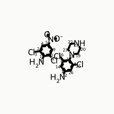 Nc1c(Cl)cc([N+](=O)[O-])cc1Cl.Nc1cc(Cl)c(N2CCNCC2)c(Cl)c1